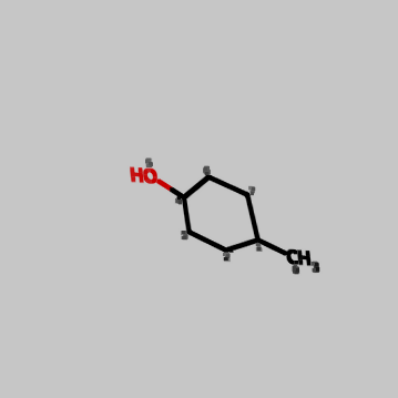 CC1[CH]CC(O)CC1